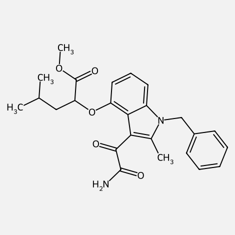 COC(=O)C(CC(C)C)Oc1cccc2c1c(C(=O)C(N)=O)c(C)n2Cc1ccccc1